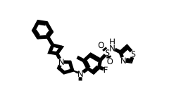 Cc1cc(S(=O)(=O)Nc2cscn2)c(F)cc1N(C)[C@H]1CCN(C2CC(c3ccccc3)C2)C1